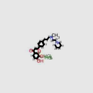 CN(CCCc1ccc(-c2cc(=O)c3ccc(O)c(O)c3o2)cc1)CCN1CCCCC1.Cl.Cl